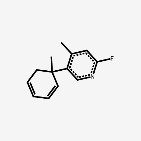 Cc1cc(F)ncc1C1(C)C=CC=CC1